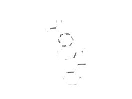 C=C(C1=C(C)CCCC1(C)C)/C(C)=C(\F)c1ccc(C(=O)OC)cc1F